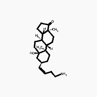 C[C@]12CC[C@H]3[C@@H](CC[C@@]4(O)C[C@H](/C=C\CCN)CC[C@]34C)[C@@H]1CCC2=O